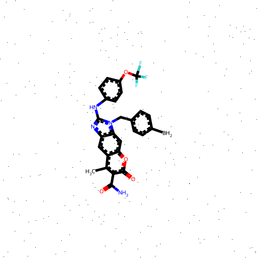 Bc1ccc(Cn2c(Nc3ccc(OC(F)(F)F)cc3)nc3cc4c(C)c(C(N)=O)c(=O)oc4cc32)cc1